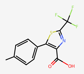 Cc1ccc(-c2sc(C(F)(F)F)nc2C(=O)O)cc1